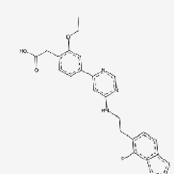 CCOc1cc(-c2cc(NCCc3ccc4sccc4c3F)ncn2)ccc1CC(=O)O